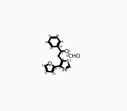 O=COC(Cc1scnc1-c1ccco1)c1ccccc1